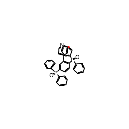 O=P(c1ccccc1)(c1ccccc1)c1ccc(P(=O)(c2ccccc2)c2ccccc2)c(-c2ccncc2)c1